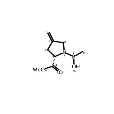 C=C1C[C@@H](C(=O)OC)N(B(C)O)C1